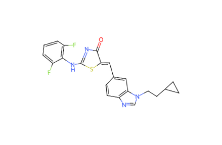 O=C1N=C(Nc2c(F)cccc2F)S/C1=C\c1ccc2ncn(CCC3CC3)c2c1